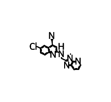 Cn1c(CNc2cc(C#N)c3cc(Cl)ccc3n2)nc2cccnc21